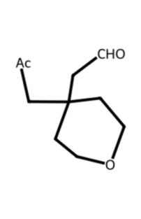 CC(=O)CC1(CC=O)CCOCC1